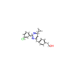 OCCc1ccc(Cc2cc(C3CC3)nc(-c3cccc(Cl)c3)n2)cc1